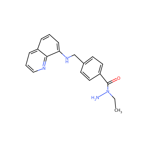 CCN(N)C(=O)c1ccc(CNc2cccc3cccnc23)cc1